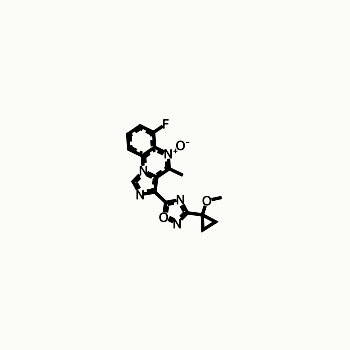 COC1(c2noc(-c3ncn4c3c(C)[n+]([O-])c3c(F)cccc34)n2)CC1